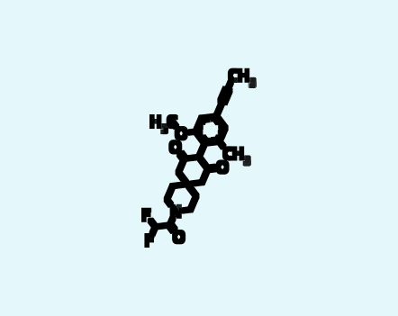 CC#Cc1cc(C)c(C2C(=O)CC3(CCN(C(=O)C(F)F)CC3)CC2=O)c(OC)c1